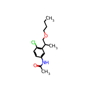 CCCCOCC(C)c1cc(NC(C)=O)ccc1Cl